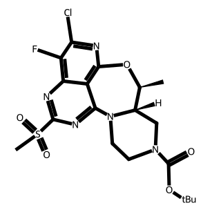 C[C@@H]1Oc2nc(Cl)c(F)c3nc(S(C)(=O)=O)nc(c23)N2CCN(C(=O)OC(C)(C)C)C[C@@H]12